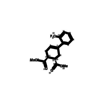 COC(=O)[C@H]1CC=C(c2ccccc2C(F)(F)F)C[C@@H]1C(=O)OC